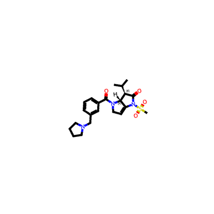 CC(C)[C@H]1C(=O)N(S(C)(=O)=O)C2=CCN(C(=O)c3cccc(CN4CCCC4)c3)[C@@H]21